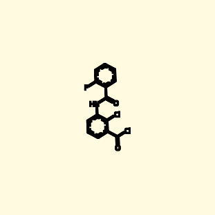 O=C(Nc1cccc(C(=O)Cl)c1Cl)c1ccccc1F